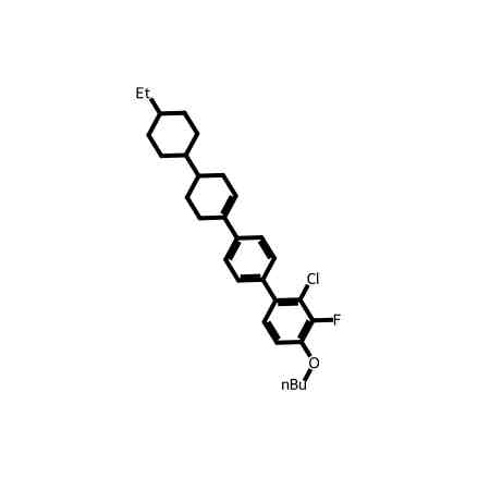 CCCCOc1ccc(-c2ccc(C3=CCC(C4CCC(CC)CC4)CC3)cc2)c(Cl)c1F